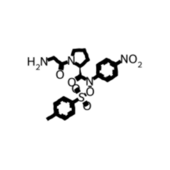 Cc1ccc(S(=O)(=O)ON(C(=O)[C@@H]2CCCN2C(=O)CN)c2ccc([N+](=O)[O-])cc2)cc1